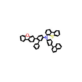 c1ccc(-c2cc(N(c3ccc(-c4cccc5ccccc45)cc3)c3cccc4c3sc3ccccc34)ccc2-c2ccc3c(c2)oc2ccccc23)cc1